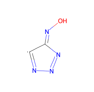 ON=C1[C]=NN=N1